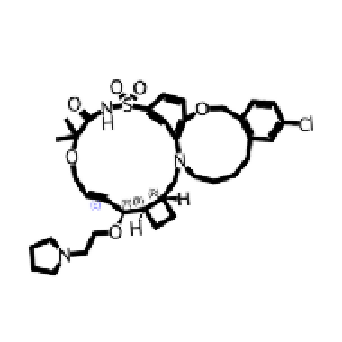 CC1(C)OC/C=C/[C@H](OCCN2CCCC2)[C@@H]2CC[C@H]2CN2CCCCc3cc(Cl)ccc3COc3ccc(cc32)S(=O)(=O)NC1=O